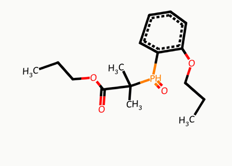 CCCOC(=O)C(C)(C)[PH](=O)c1ccccc1OCCC